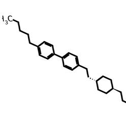 CCCCCc1ccc(-c2ccc(CC[C@H]3CC[C@H](CCC)CC3)cc2)cc1